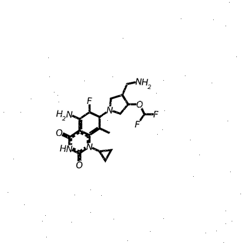 CC1=c2c(c(=O)[nH]c(=O)n2C2CC2)=C(N)C(F)C1N1CC(CN)C(OC(F)F)C1